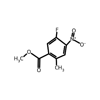 COC(=O)c1cc(F)c([N+](=O)[O-])cc1C